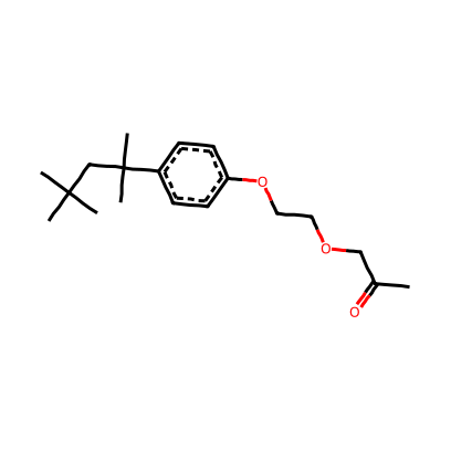 CC(=O)COCCOc1ccc(C(C)(C)CC(C)(C)C)cc1